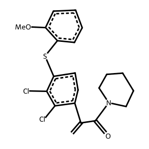 C=C(C(=O)N1CCCCC1)c1ccc(Sc2ccccc2OC)c(Cl)c1Cl